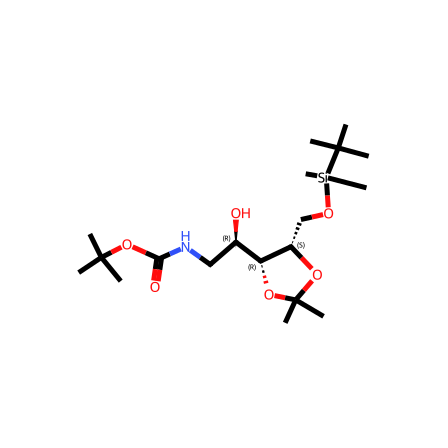 CC(C)(C)OC(=O)NC[C@@H](O)[C@H]1OC(C)(C)O[C@H]1CO[Si](C)(C)C(C)(C)C